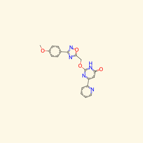 COc1ccc(-c2noc(COc3nc(-c4ccccn4)cc(=O)[nH]3)n2)cc1